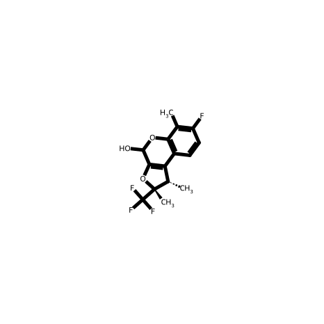 Cc1c(F)ccc2c1OC(O)C1=C2[C@H](C)[C@](C)(C(F)(F)F)O1